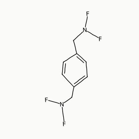 FN(F)Cc1ccc(CN(F)F)cc1